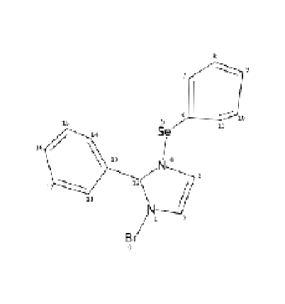 BrN1C=CN([Se]c2ccccc2)C1c1ccccc1